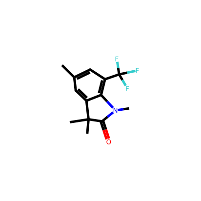 Cc1cc(C(F)(F)F)c2c(c1)C(C)(C)C(=O)N2C